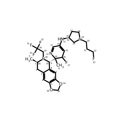 C[C@@H]1Cc2cc3c(cc2[C@@H](C2(C)N=CC(N[C@H]4CCN(CCCF)C4)=CC2F)N1CC(F)(F)F)OCO3